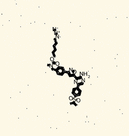 CC(C)S(=O)(=O)c1ccc(-c2cnc(N)c(-c3cc(-c4ccc(CN(C)C(=O)OCCCCCCN=[N+]=[N-])cc4)no3)n2)cc1